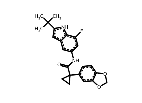 CC(C)(C)c1cc2cc(NC(=O)C3(c4ccc5c(c4)OCO5)CC3)cc(F)c2[nH]1